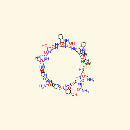 CCCC[C@H]1C(=O)N(C)[C@@H](CCCC)C(=O)N[C@@H](CCCN)C(=O)N[C@H](C(=O)NCC(N)=O)CSCC(=O)N[C@@H](Cc2ccc(O)cc2)C(=O)N2CCC[C@H]2C(=O)N[C@@H](CC(N)=O)C(=O)N2CCC[C@H]2C(=O)N[C@@H](Cc2cnc[nH]2)C(=O)N[C@@H](CC(C)C)C(=O)N2C[C@H](O)C[C@H]2C(=O)N[C@@H](Cc2c[nH]c3ccccc23)C(=O)N[C@@H](CO)C(=O)N[C@@H](Cc2c[nH]c3ccccc23)C(=O)N1C